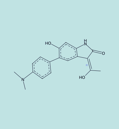 C/C(O)=C1\C(=O)Nc2cc(O)c(-c3ccc(N(C)C)cc3)cc21